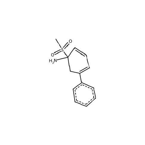 CS(=O)(=O)C1(N)C=CC=C(c2ccccc2)C1